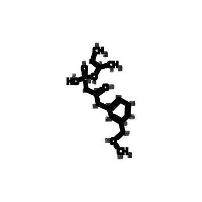 CCC(C)OP(=O)(O)CC(=O)Cc1cccc(COC)c1